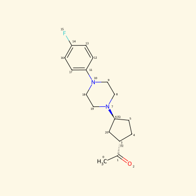 CC(=O)[C@H]1CC[C@H](N2CCN(c3ccc(F)cc3)CC2)C1